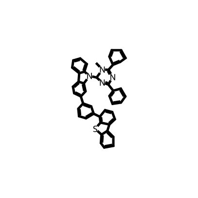 CN1C(c2ccccc2)=NC(c2ccccc2)=NC1n1c2ccccc2c2ccc(-c3cccc(-c4cccc5c4sc4ccccc45)c3)cc21